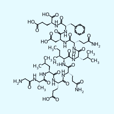 CC[C@H](C)[C@H](NC(=O)[C@H](CCC(N)=O)NC(=O)[C@H](CCC(=O)O)NC(=O)[C@H](CC(C)C)NC(=O)[C@H](C)NC(=O)CN)C(=O)N[C@@H](CC(C)C)C(=O)N[C@@H](CCC(N)=O)C(=O)N[C@@H](CC(=O)O)C(=O)N[C@@H](Cc1ccccc1)C(=O)N[C@@H](CCC(=O)O)C(=O)O